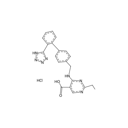 CCc1ncc(C(=O)O)c(NCc2ccc(-c3ccccc3-c3nnn[nH]3)cc2)n1.Cl